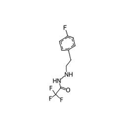 O=C(NNCCc1ccc(F)cc1)C(F)(F)F